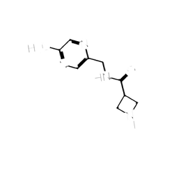 Cc1cnc(CNC(=O)C2CNC2)cn1